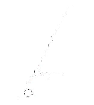 CCCCCCCCCCCCCCCCCCOC[C@H](COCc1cc(F)cc(Br)c1)O[Si](C)(C)CCCC